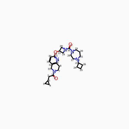 O=C(CC1CC1)N1CCc2nc(OC3CN(C(=O)N4CCCN(C5CCC5)CC4)C3)ccc2C1